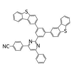 N#Cc1ccc(-c2cc(-c3ccccc3)nc(-c3cc(-c4ccc5sc6ccccc6c5c4)cc(-c4ccc5sc6ccccc6c5c4)c3)n2)cc1